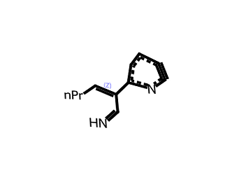 CCC/C=C(\C=N)c1ccc#cn1